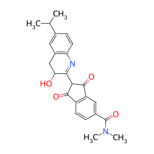 CC(C)c1ccc2c(c1)CC(O)C(C1C(=O)c3ccc(C(=O)N(C)C)cc3C1=O)=N2